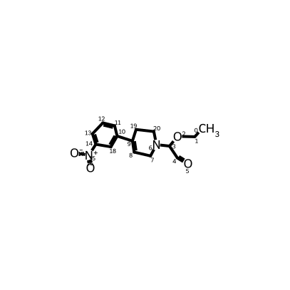 CCOC(C=O)N1CC=C(c2cccc([N+](=O)[O-])c2)CC1